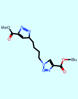 COC(=O)C1=CC(CCCCn2cc(C(=O)OC(C)(C)C)nn2)N=N1